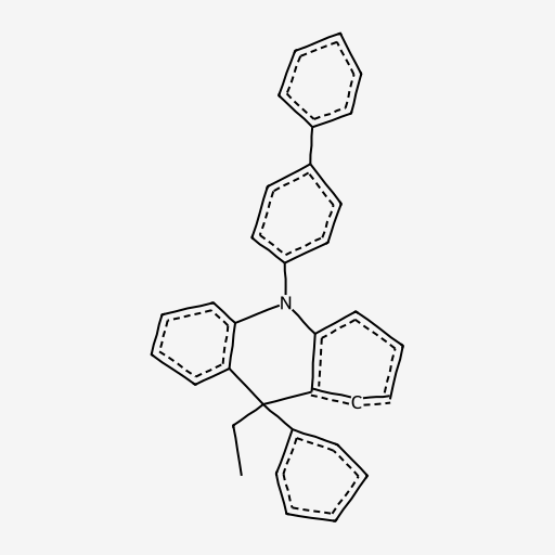 CCC1(c2ccccc2)c2ccccc2N(c2ccc(-c3ccccc3)cc2)c2ccccc21